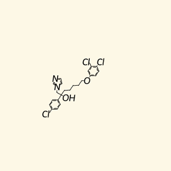 OC(CCCCCOc1ccc(Cl)c(Cl)c1)(Cn1ccnc1)c1ccc(Cl)cc1